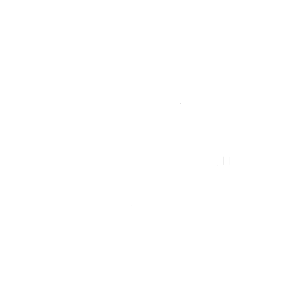 CCc1cccc(C)c1CP